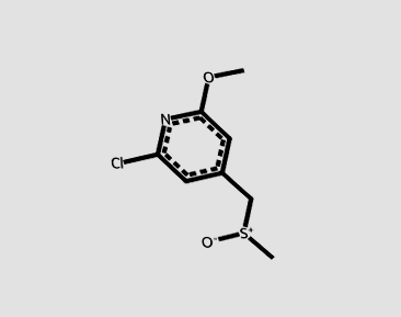 COc1cc(C[S+](C)[O-])cc(Cl)n1